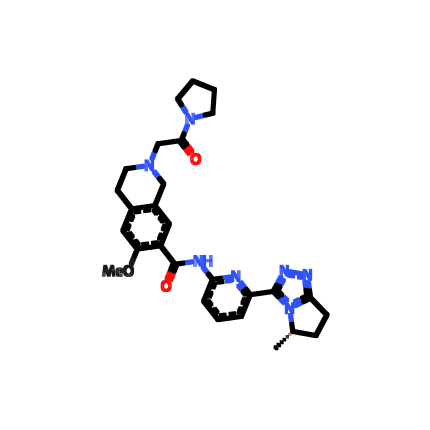 COc1cc2c(cc1C(=O)Nc1cccc(-c3nnc4n3[C@@H](C)CC4)n1)CN(CC(=O)N1CCCC1)CC2